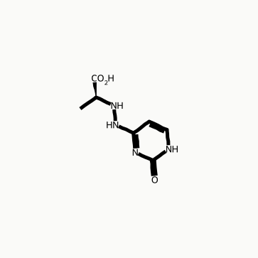 C[C@H](NNc1cc[nH]c(=O)n1)C(=O)O